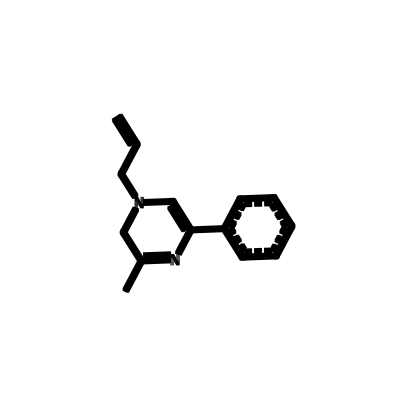 C=CCN1C=C(c2ccccc2)N=C(C)C1